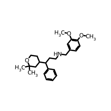 COc1ccc(CNCCC(c2ccccc2)C2CCOC(C)(C)C2)cc1OC